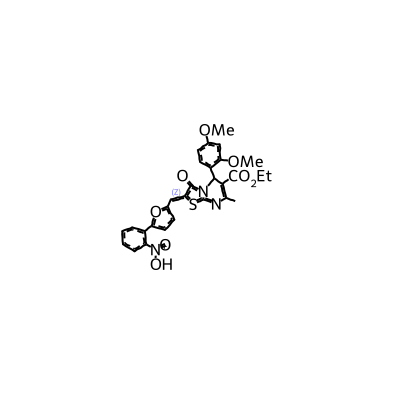 CCOC(=O)C1=C(C)N=c2s/c(=C\c3ccc(-c4ccccc4[N+](=O)O)o3)c(=O)n2C1c1ccc(OC)cc1OC